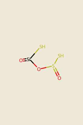 O=[Si](S)OS(=O)S